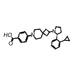 O=C(O)c1ccc(N2CCC3(CC2)CC(N2CCC[C@H]2c2ccccc2C2CC2)C3)cc1